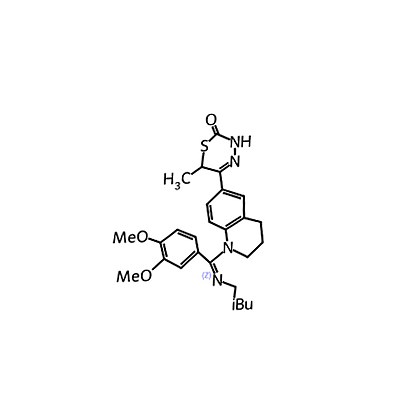 CCC(C)C/N=C(/c1ccc(OC)c(OC)c1)N1CCCc2cc(C3=NNC(=O)SC3C)ccc21